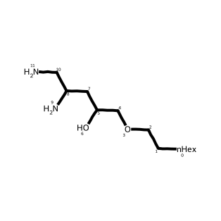 CCCCCCCCOCC(O)CC(N)CN